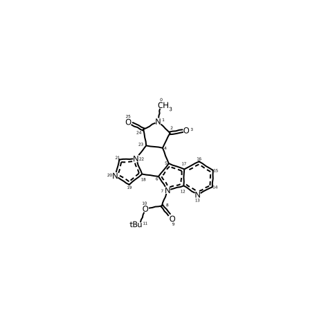 CN1C(=O)C2c3c(n(C(=O)OC(C)(C)C)c4ncccc34)-c3cncn3C2C1=O